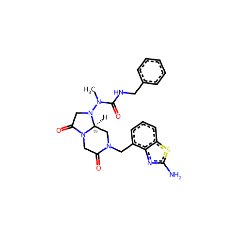 CN(C(=O)NCc1ccccc1)N1CC(=O)N2CC(=O)N(Cc3cccc4sc(N)nc34)C[C@@H]21